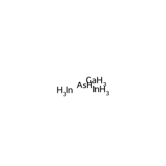 [AsH3].[GaH3].[InH3].[InH3]